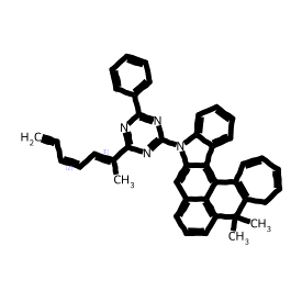 C=C/C=C\C=C(/C)c1nc(-c2ccccc2)nc(-n2c3ccccc3c3c4c5c(cccc5cc32)C(C)(C)C2=C4C=CC=CC2)n1